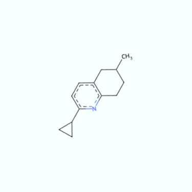 CC1CCc2nc(C3CC3)ccc2C1